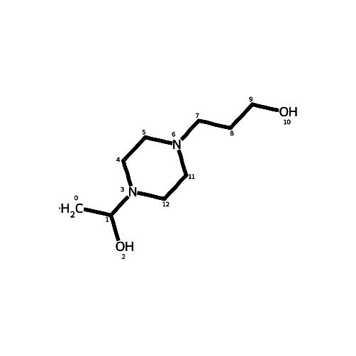 [CH2]C(O)N1CCN(CCCO)CC1